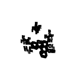 COC(=O)c1ccccc1-c1c2cc(C)c(NC(F)C(F)F)cc2[o+]c2cc(NC(F)C(F)F)c(C)cc12.F[B-](F)(F)F